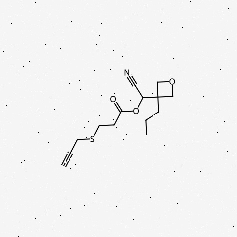 C#CCSCCC(=O)OC(C#N)C1(CCC)COC1